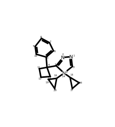 C1=NN=C(C2(c3ccccc3)CCC2)[N+]1(C1CC1)C1CC1